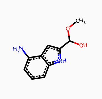 COC(O)c1cc2c(N)cccc2[nH]1